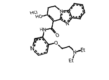 CCN(CC)CCOc1ccncc1NC(=O)C1=C(O)CCn2c1nc1ccccc12.Cl